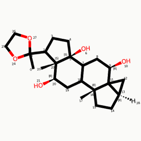 CC1(C2CC[C@]3(O)C4C[C@@H](O)C56C[C@H]5CC[C@]6(C)C4C[C@@H](O)[C@]23C)OCCO1